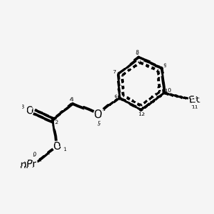 CCCOC(=O)COc1cccc(CC)c1